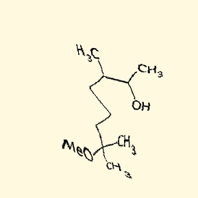 COC(C)(C)CCCC(C)C(C)O